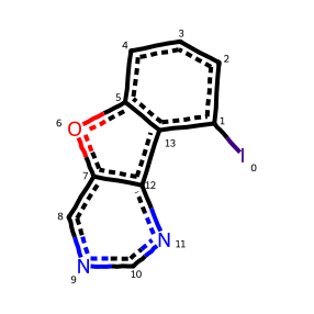 Ic1cccc2oc3cncnc3c12